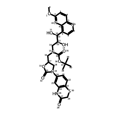 COc1ccc2nccc([C@H](O)[C@@H](O)CN(CC3CN(c4ccc5c(c4)NC(=O)CS5)C(=O)O3)C(=O)OC(C)(C)C)c2n1